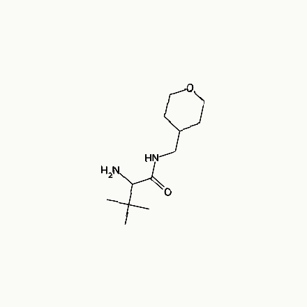 CC(C)(C)C(N)C(=O)NCC1CCOCC1